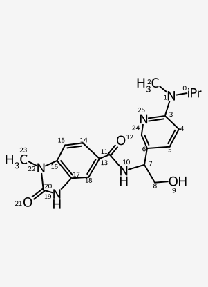 CC(C)N(C)c1ccc(C(CO)NC(=O)c2ccc3c(c2)[nH]c(=O)n3C)cn1